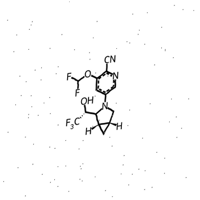 N#Cc1ncc(N2C[C@@H]3C[C@@H]3C2[C@@H](O)C(F)(F)F)cc1OC(F)F